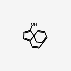 OC1=CC=C2C=CC3=CC=CC12C3